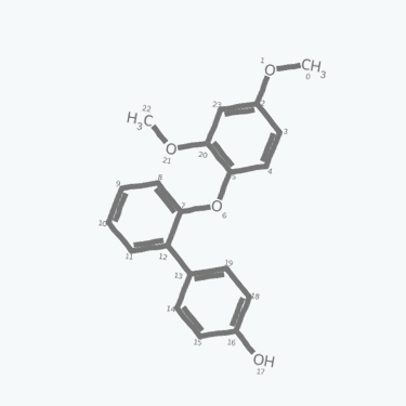 COc1ccc(Oc2ccccc2-c2ccc(O)cc2)c(OC)c1